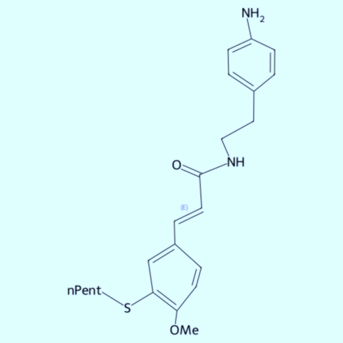 CCCCCSc1cc(/C=C/C(=O)NCCc2ccc(N)cc2)ccc1OC